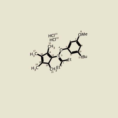 CC[C](CC)=[Ti]([O]c1cc(OC)cc(C(C)(C)C)c1)[C]1=C(C)C(C)=C(C)C1C.Cl.Cl